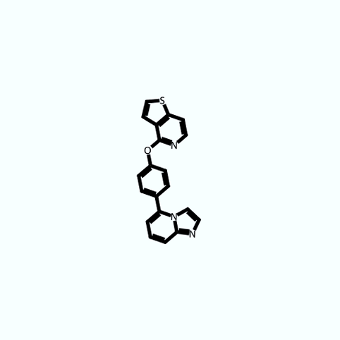 c1cc(-c2ccc(Oc3nccc4sccc34)cc2)n2ccnc2c1